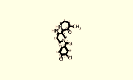 CC1CCCN/C(=C2/CN(C(=O)c3ccc(Cl)c(Cl)c3)CCC2=N)C1=O